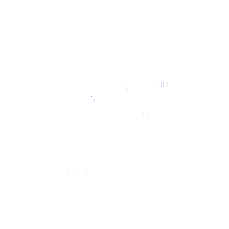 O=C(O)c1ccc2nc(N3CCCCNC3=O)sc2c1